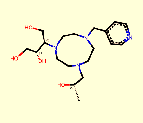 C[C@H](O)CN1CCN(Cc2ccncc2)CCN([C@H](CO)[C@H](O)CO)CC1